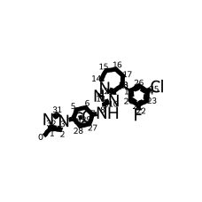 Cc1cn(C23CCC(Nc4nc5n(n4)CCCC[C@H]5c4cc(F)cc(Cl)c4)(CC2)CC3)cn1